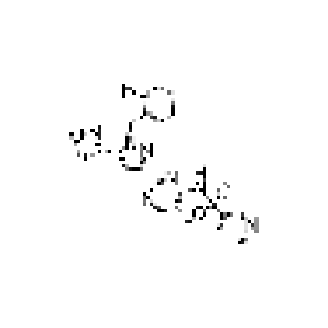 O=S(=O)(Nc1nc(-c2cc(-c3ccon3)n(Cc3ccccc3F)n2)ncc1F)c1cccnc1